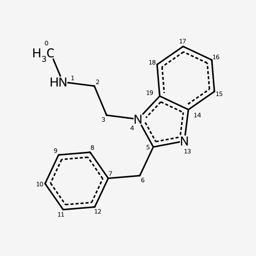 CNCCn1c(Cc2ccccc2)nc2ccccc21